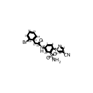 N#Cc1cnn(-c2ccc(NC(=O)Cc3ccccc3Br)cc2S(N)(=O)=O)c1